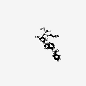 CC[C@H]1O[C@@H](n2cnc3c(NC(=O)c4ccccc4)ncnc32)[C@@H](F)[C@@H]1OP(OCCC#N)N(C(C)C)C(C)C